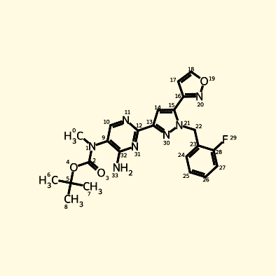 CN(C(=O)OC(C)(C)C)c1cnc(-c2cc(-c3ccon3)n(Cc3ccccc3F)n2)nc1N